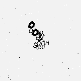 CN([C@H](CO)CO[Si](C)(C)C(C)(C)C)S(=O)(=O)c1ccc(Oc2ccccc2)cc1